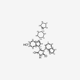 Cl.O=C1NC(=O)C(c2cccc3ccoc23)=C1c1cn([C@H]2CC[C@@H](N3CCCC3)CC2)c2ccccc12